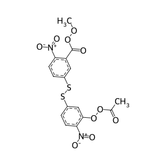 COOC(=O)c1cc(SSc2ccc([N+](=O)[O-])c(OOC(C)=O)c2)ccc1[N+](=O)[O-]